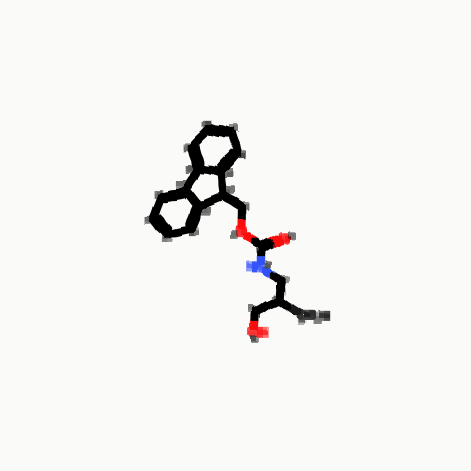 O=C(NCC(CO)C(=O)O)OCC1c2ccccc2-c2ccccc21